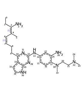 CC/C(N)=C(C)\C=C/CCc1nc(Nc2ccc(N(C)CCN(C)C)c(N)c2)nc2[nH]ccc12